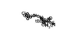 Cc1ncsc1-c1ccc([C@H](CN2CCOCC2)NC(=O)[C@@H]2C[C@@H](O)CN2C(=O)[C@@H](n2cc(C3CCC(CN4CCC(c5ccc6c(n5)-n5c(nc(=O)c7c(Cl)cccc75)C65CCCCC5)CC4)CC3)nn2)C(C)(C)C)cc1